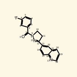 O=C(c1cccc(F)c1)N1CCC(c2ccc3ncccc3c2)=N1